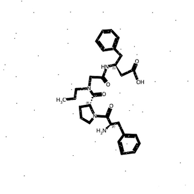 CCCN(CC(=O)N[C@H](CC(=O)O)Cc1ccccc1)C(=O)[C@H]1CCCN1C(=O)[C@H](N)Cc1ccccc1